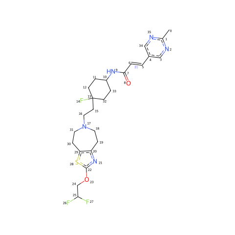 Cc1ncc(/C=C/C(=O)NC2CCC(F)(CCN3CCc4nc(OCC(F)F)sc4CC3)CC2)cn1